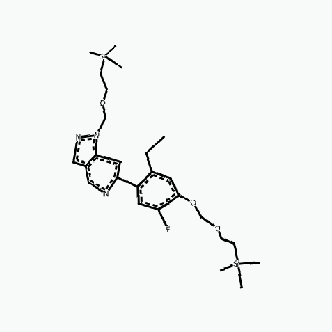 CCc1cc(OCOCC[Si](C)(C)C)c(F)cc1-c1cc2c(cn1)cnn2COCC[Si](C)(C)C